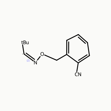 CC(C)(C)/[C]=N\OCc1ccccc1C#N